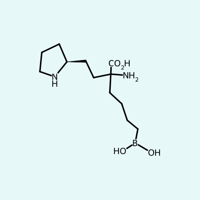 NC(CCCCB(O)O)(CC[C@@H]1CCCN1)C(=O)O